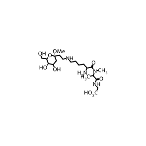 CO[C@]1(CCNCCCCC(N)C(=O)N(C)C(C)C(=O)NCC(=O)O)CC(O)[C@@H](O)C(CO)O1